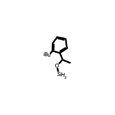 CCC(C)c1ccccc1C(C)O[SiH3]